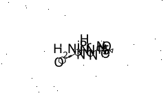 CC(C)c1c(Nc2ccnc(-c3cnn(S(=O)(=O)C4CC4)c3)n2)ncc(C#CC2CCOCC2)c1N